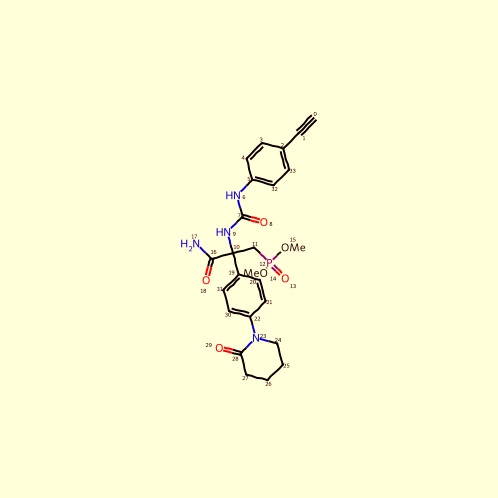 C#Cc1ccc(NC(=O)NC(CP(=O)(OC)OC)(C(N)=O)c2ccc(N3CCCCC3=O)cc2)cc1